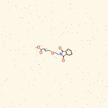 COC(=O)/C=C/COCCN1C(=O)c2ccccc2C1=O